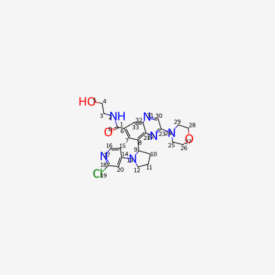 O=C(NCCO)c1cc(C2CCCN2c2ccnc(Cl)c2)c2nc(N3CCOCC3)cnc2c1